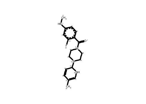 CBc1ccc(C(=O)N2CCN(C3C=CC(C)=CN3)CC2)c(F)c1